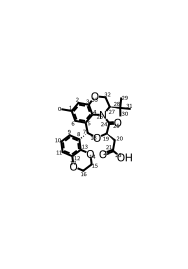 Cc1cc2c3c(c1)[C@@H](c1cccc4c1OCCO4)O[C@H](CC(=O)O)C(=O)N3[C@H](C(C)(C)C)CO2